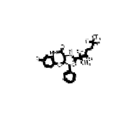 CC(C)(C(=O)CCC(F)(F)C(F)(F)F)C(=O)N[C@@H]1C(=O)Nc2cc(F)ccc2O[C@@H]1Cc1ccccc1